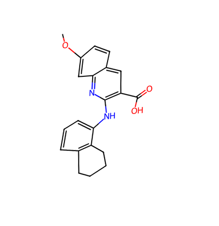 COc1ccc2cc(C(=O)O)c(Nc3cccc4c3CCCC4)nc2c1